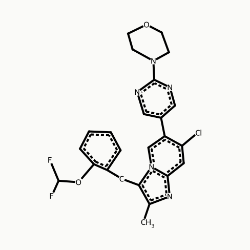 Cc1nc2cc(Cl)c(-c3cnc(N4CCOCC4)nc3)cn2c1Cc1ccccc1OC(F)F